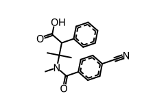 CN(C(=O)c1ccc(C#N)cc1)C(C)(C)C(C(=O)O)c1ccccc1